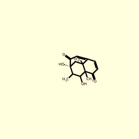 CC1C(O)C2(C)C(=O)C=CC3=CC(=O)[C@@]1(O)CC32C